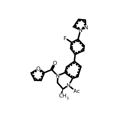 CC(=O)N1c2ccc(-c3ccc(-n4cccn4)c(F)c3)cc2N(C(=O)c2ccco2)C[C@@H]1C